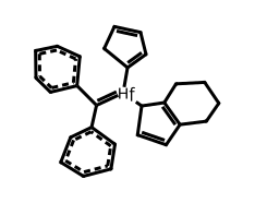 C1=CC[C]([Hf](=[C](c2ccccc2)c2ccccc2)[CH]2C=CC3=C2CCCC3)=C1